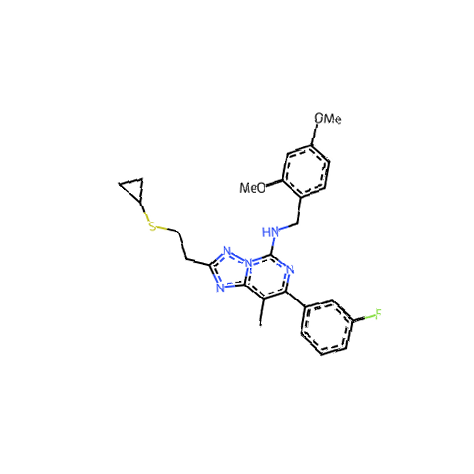 COc1ccc(CNc2nc(-c3cccc(F)c3)c(C)c3nc(CCSC4CC4)nn23)c(OC)c1